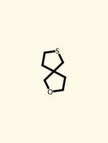 C1CC2(CCSC2)CO1